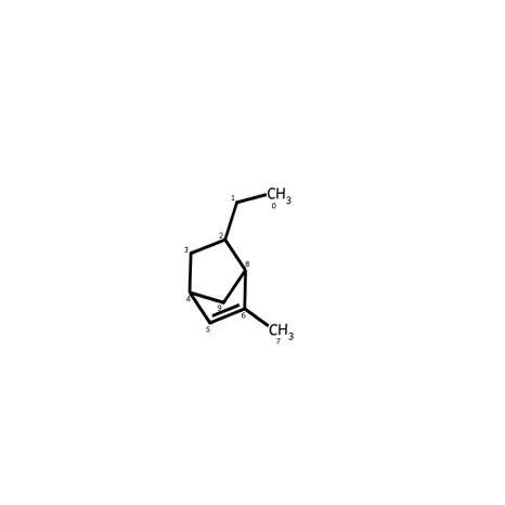 CCC1CC2C=C(C)C1C2